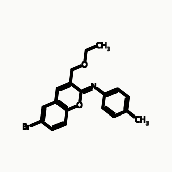 CCOCc1cc2cc(Br)ccc2oc1=Nc1ccc(C)cc1